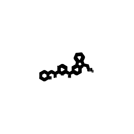 CCn1c2ccccc2c2cc(Nc3ccnc(NCC4CCCCN4)n3)ccc21